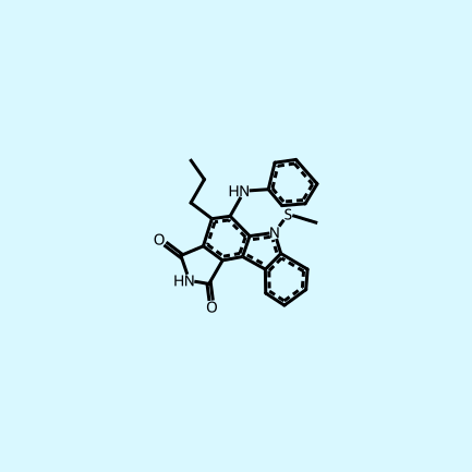 CCCc1c2c(c3c4ccccc4n(SC)c3c1Nc1ccccc1)C(=O)NC2=O